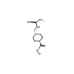 CC(C)OC(=O)[C@H]1CC[C@H](CNC(=N)N)CC1